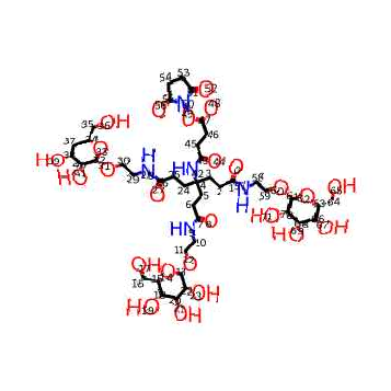 O=C(CCC(CCC(=O)NCCO[C@H]1O[C@H](CO)[C@@H](O)[C@H](O)[C@@H]1O)(CCC(=O)NCCO[C@H]1O[C@H](CO)C[C@H](O)[C@@H]1O)NC(=O)CCC(=O)ON1C(=O)CCC1=O)NCCO[C@H]1O[C@H](CO)[C@@H](O)[C@H](O)[C@@H]1O